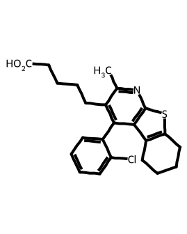 Cc1nc2sc3c(c2c(-c2ccccc2Cl)c1CCCCC(=O)O)CCCC3